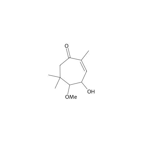 COC1C(O)C=C(C)C(=O)CC1(C)C